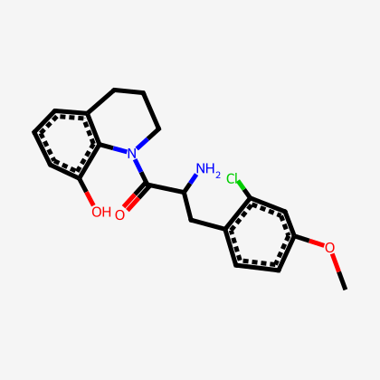 COc1ccc(CC(N)C(=O)N2CCCc3cccc(O)c32)c(Cl)c1